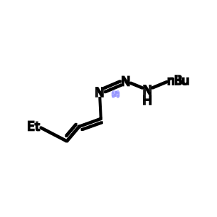 CCC=C=C/N=N\NCCCC